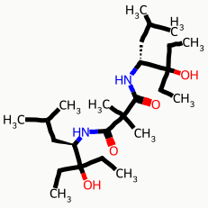 CCC(O)(CC)[C@@H](CC(C)C)NC(=O)C(C)(C)C(=O)N[C@H](CC(C)C)C(O)(CC)CC